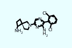 Nc1nc(N2CC[C@@]3(CCC3N)C2)cnc1-c1c(Cl)cccc1Cl